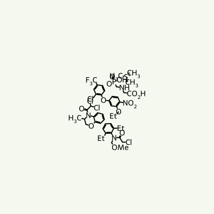 CC1COc2ccccc2N1C(=O)C(Cl)Cl.CCOc1cc(Oc2ccc(C(F)(F)F)cc2Cl)ccc1[N+](=O)[O-].CCc1cccc(CC)c1N(COC)C(=O)CCl.C[S+](C)C.O=C(O)CNCP(=O)([O-])O